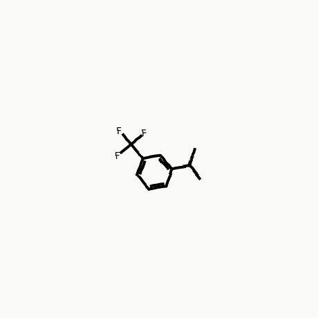 CC(C)c1cccc(C(F)(F)F)c1